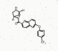 O=C(c1ccc2cc(Oc3ccc(C(F)(F)F)cn3)ccc2n1)N1C[C@@H]2C[C@H]1CN2